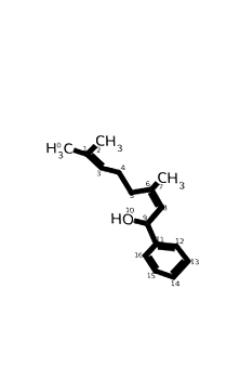 CC(C)=CCCC(C)=CC(O)c1ccccc1